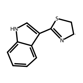 [CH]1CSC(c2c[nH]c3ccccc23)=N1